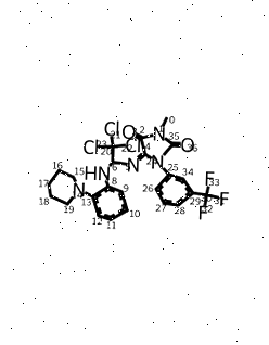 CN1C(=O)C(=NC(Nc2ccccc2N2CCCCC2)C(Cl)(Cl)Cl)N(c2cccc(C(F)(F)F)c2)C1=O